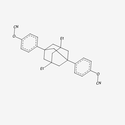 CCC12CC3(CC)CC(c4ccc(OC#N)cc4)(C1)CC(c1ccc(OC#N)cc1)(C2)C3